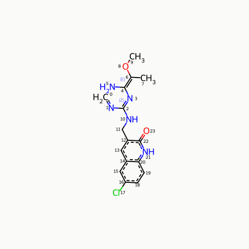 C=N/C(=N\C(N)=C(/C)OC)NCc1cc2cc(Cl)ccc2[nH]c1=O